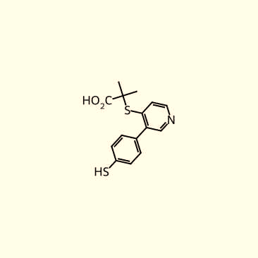 CC(C)(Sc1ccncc1-c1ccc(S)cc1)C(=O)O